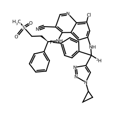 [2H]C(Nc1cc(Cl)c2ncc(C#N)c(N[C@H](CCS(C)(=O)=O)c3ccccc3)c2c1)(c1ccc(F)cc1)c1cn(C2CC2)nn1